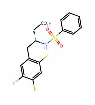 O=C(O)C[C@@H](Cc1cc(F)c(F)cc1F)NS(=O)(=O)c1ccccc1